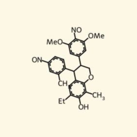 CCc1cc2c(c(C)c1O)OCC(c1cc(OC)c(N=O)c(OC)c1)C2c1ccc(N=O)cc1C